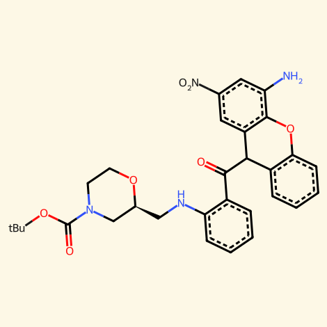 CC(C)(C)OC(=O)N1CCO[C@@H](CNc2ccccc2C(=O)C2c3ccccc3Oc3c(N)cc([N+](=O)[O-])cc32)C1